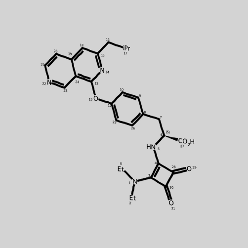 CCN(CC)c1c(N[C@@H](Cc2ccc(Oc3nc(CC(C)C)cc4ccncc34)cc2)C(=O)O)c(=O)c1=O